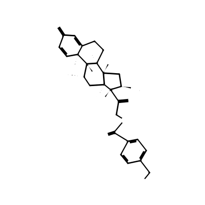 C[C@@H]1C[C@H]2[C@@H]3CCC4=CC(=O)C=C[C@]4(C)[C@@]3(F)[C@@H](O)C[C@]2(C)[C@@]1(O)C(=O)COC(=O)c1ccc(CCl)cc1